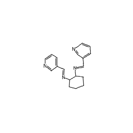 C(=N\C1CCCCC1/N=C/c1cccnc1)/c1cccnc1